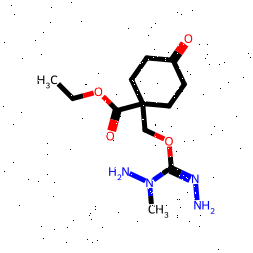 CCOC(=O)C1(CO/C(=N/N)N(C)N)CCC(=O)CC1